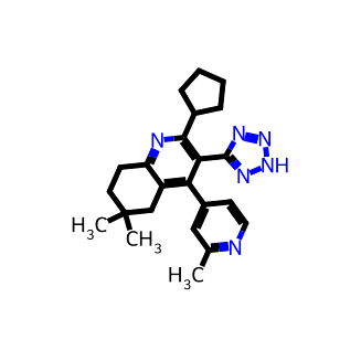 Cc1cc(-c2c3c(nc(C4CCCC4)c2-c2nn[nH]n2)CCC(C)(C)C3)ccn1